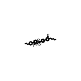 CCCCCc1ccc(-c2ccc(C(=O)Oc3ccc(C4CCC(CCC)CC4)c(F)c3F)cc2)cc1F